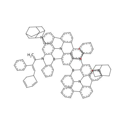 C=C(C(=CC1C=CC=CC1)c1ccccc1)N1c2ccccc2B2c3cc4c(cc3N(c3c(-c5ccccc5)cccc3-c3ccccc3)c3cc(N5C6CC7CC(C6)CC5C7)cc1c32)N(c1ccccc1)c1cc(N2C3CCCC2CCC3)cc2c1B4c1ccccc1N2c1c(-c2ccccc2)cccc1-c1ccccc1